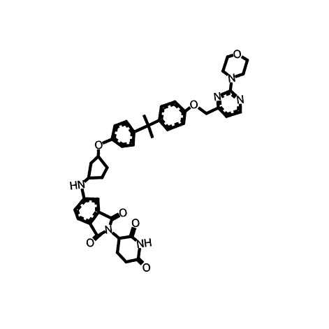 CC(C)(c1ccc(OCc2ccnc(N3CCOCC3)n2)cc1)c1ccc(OC2CCC(Nc3ccc4c(c3)C(=O)N(C3CCC(=O)NC3=O)C4=O)C2)cc1